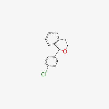 Clc1ccc(C2OCCc3ccccc32)cc1